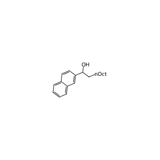 CCCCCCCCCC(O)c1ccc2ccccc2c1